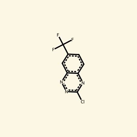 FC(F)(F)c1ccc2nc(Cl)nnc2c1